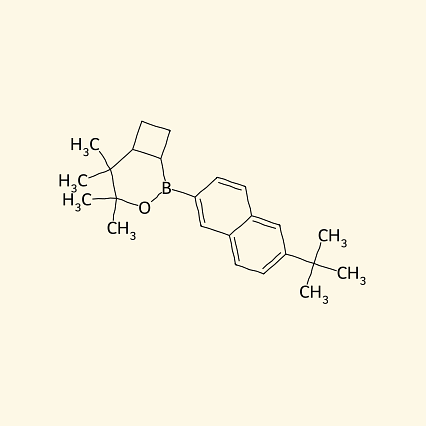 CC(C)(C)c1ccc2cc(B3OC(C)(C)C(C)(C)C4CCC34)ccc2c1